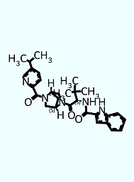 CC(C)c1ccc(C(=O)N2C[C@@H]3C[C@H]2CN3C(=O)[C@@H](NC(=O)c2cc3ccccc3[nH]2)C(C)(C)C)nc1